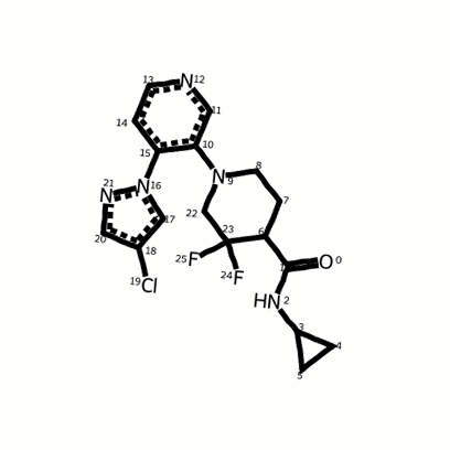 O=C(NC1CC1)C1CCN(c2cnccc2-n2cc(Cl)cn2)CC1(F)F